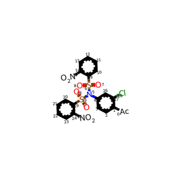 CC(=O)c1ccc(N(S(=O)(=O)c2ccccc2[N+](=O)[O-])S(=O)(=O)c2ccccc2[N+](=O)[O-])cc1Cl